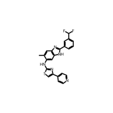 Cc1cc2nc(-c3cccc(C(F)F)c3)[nH]c2cc1Nc1nc(-c2ccncc2)cs1